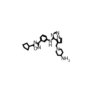 NC1CCN(Cc2ccn3ncnc(Nc4cccc(-c5noc(C6CCCC6)n5)c4)c23)CC1